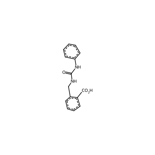 O=C(NCc1ccccc1C(=O)O)Nc1ccccc1